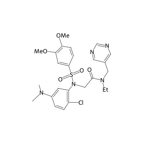 CCN(Cc1cncnc1)C(=O)CN(c1cc(N(C)C)ccc1Cl)S(=O)(=O)c1ccc(OC)c(OC)c1